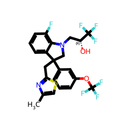 Cc1csc(CC2(c3cccc(OC(F)(F)F)c3)CN(C[C@@H](O)C(F)(F)F)c3c(F)cccc32)n1